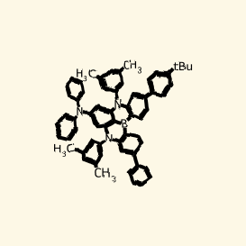 Cc1cc(C)cc(N2c3cc(-c4ccccc4)ccc3B3c4ccc(-c5ccc(C(C)(C)C)cc5)cc4N(c4cc(C)cc(C)c4)c4cc(N(c5ccccc5)c5ccccc5)cc2c43)c1